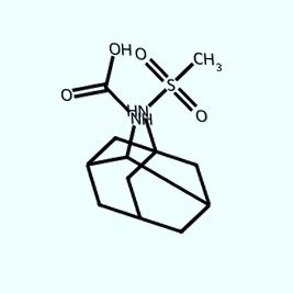 CS(=O)(=O)NC12CC3CC(C1)C(NC(=O)O)C(C3)C2